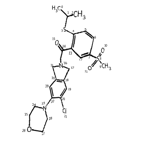 CC(C)Sc1ccc(S(C)(=O)=O)cc1C(=O)N1Cc2cc(Cl)c(N3CCOCC3)cc2C1